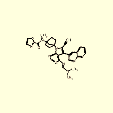 C#Cc1c(-c2cnc3ccccc3c2)c2c(/N=C/N(C)C)ncnc2n1C12CCC(N(C)C(=O)c3ncco3)(CC1)C2